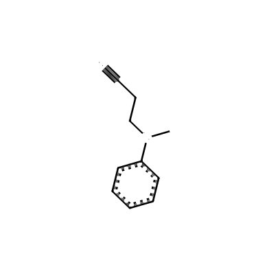 C[SiH](CCC#N)c1ccccc1